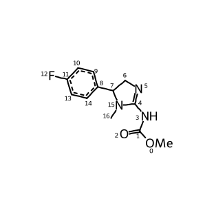 COC(=O)NC1=NCC(c2ccc(F)cc2)N1C